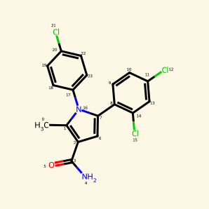 Cc1c(C(N)=O)cc(-c2ccc(Cl)cc2Cl)n1-c1ccc(Cl)cc1